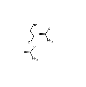 NC(=S)[S-].NC(=S)[S-].[Zn+][CH2][CH2][Zn+]